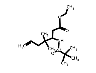 C=CCC(C)(C)C(CC(=O)OCC)N[S+]([O-])C(C)(C)C